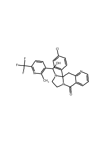 Cc1nc(C(F)(F)F)ccc1C(O)N1CCN2C(=O)c3cccnc3CC21c1ccc(Cl)cc1